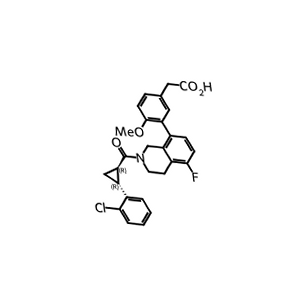 COc1ccc(CC(=O)O)cc1-c1ccc(F)c2c1CN(C(=O)[C@@H]1C[C@H]1c1ccccc1Cl)CC2